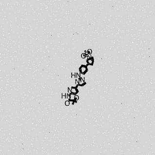 CC1(C)Oc2cc(-c3ccnc(Nc4ccc(C5CC6CC5N(S(C)(=O)=O)C6)cc4)n3)cnc2NC1=O